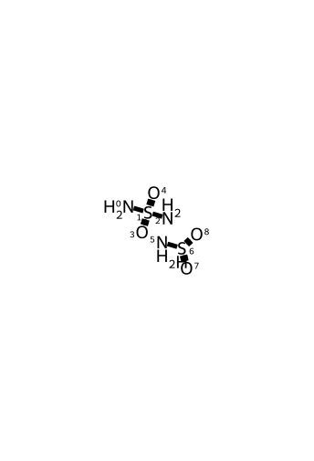 NS(N)(=O)=O.N[SH](=O)=O